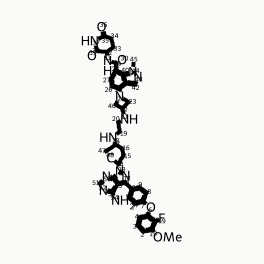 COc1cccc(Oc2ccc(-c3nn(C4CCC(NCCNC5CN(c6ccc(C(=O)NC7CCC(=O)NC7=O)c7c6cnn7C)C5)CC4)c4ncnc(N)c34)cc2)c1F